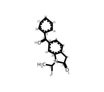 CC(I)N1C(=O)Cc2ccc(C(=O)c3ccccc3)cc21